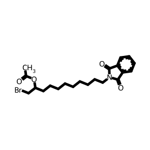 CC(=O)OC(CBr)CCCCCCCCCN1C(=O)c2ccccc2C1=O